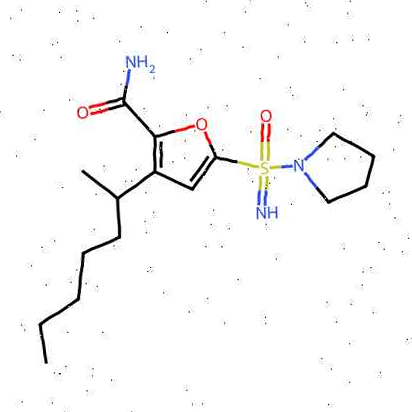 CCCCCC(C)c1cc(S(=N)(=O)N2CCCC2)oc1C(N)=O